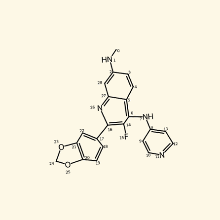 CNc1ccc2c(Nc3ccncc3)c(F)c(-c3ccc4c(c3)OCO4)nc2c1